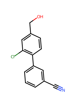 N#Cc1cccc(-c2ccc(CO)cc2Cl)c1